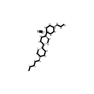 CCCCC[C@H]1CC[C@H]([C@H]2CC[C@H]([C@]3(C#N)CC[C@H](CCC)CC3)CC2)CC1